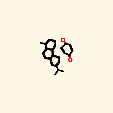 Cc1cccc2c1ccc1cc(C(C)C)ccc12.O=C1C=CC(=O)C=C1